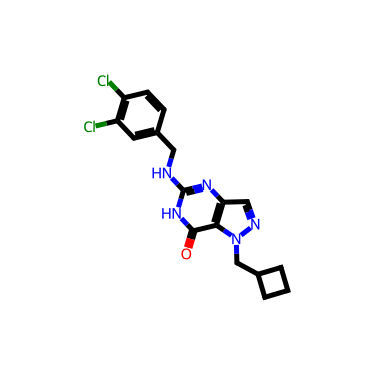 O=c1[nH]c(NCc2ccc(Cl)c(Cl)c2)nc2cnn(CC3CCC3)c12